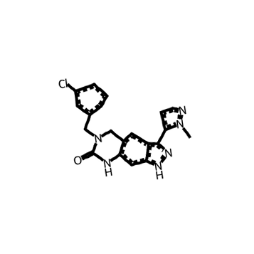 Cn1nccc1-c1n[nH]c2cc3c(cc12)CN(Cc1cccc(Cl)c1)C(=O)N3